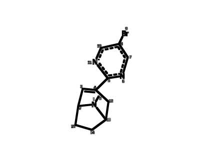 CN1C2C=C(c3ncc(Br)cn3)CC1CC2